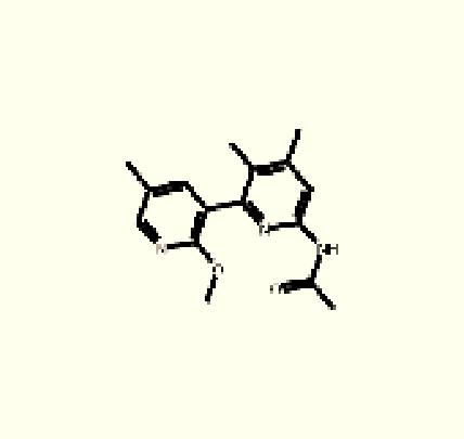 COc1ncc(C)cc1-c1nc(NC(C)=O)cc(C)c1C